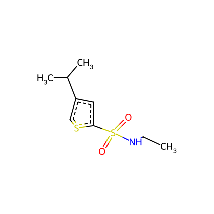 CCNS(=O)(=O)c1cc(C(C)C)cs1